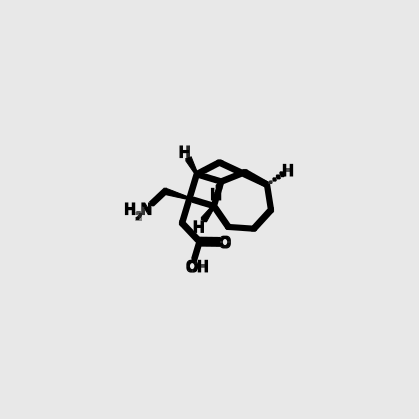 NC[C@@]1(CC(=O)O)[C@@H]2C[C@@H]3CCC[C@H]1[C@H]2C3